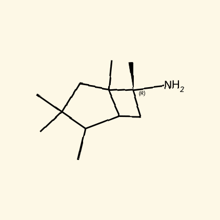 CC1C2C[C@@](C)(N)C2(C)CC1(C)C